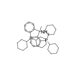 CC(N)(c1ccccc1P(C1CCCCC1)C1CCCCC1)c1ccccc1P(C1CCCCC1)C1CCCCC1